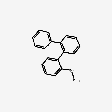 NNc1ccccc1-c1ccc[c]c1-c1ccccc1